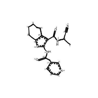 CC(C#N)NC(=O)c1c(NC(=O)c2cccnc2)sc2c1CCCC2